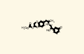 COC(=O)OC1COc2cc(CC(C)NCC(O)c3cccc(Cl)c3)ccc2O1